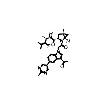 CC(=O)c1cn(CC(=O)N2[C@H](C(=O)N[C@@H](C)C(F)=C(C)C)C[C@@]3(C)C[C@@H]23)c2ccc(-c3cnc(C)nc3)cc12